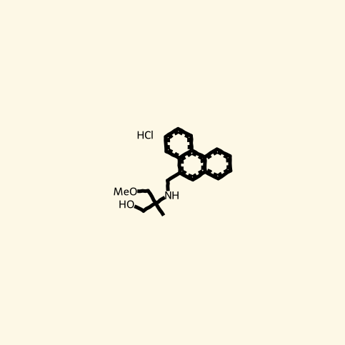 COCC(C)(CO)NCc1cc2ccccc2c2ccccc12.Cl